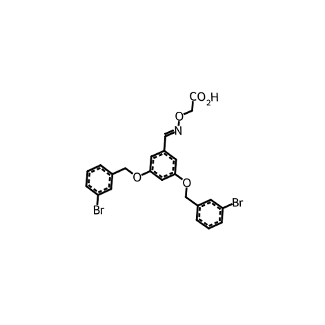 O=C(O)CON=Cc1cc(OCc2cccc(Br)c2)cc(OCc2cccc(Br)c2)c1